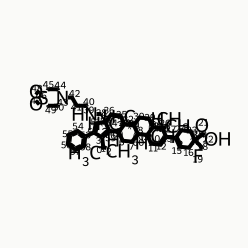 CC(C)C1=C2[C@H]3CC[C@@H]4[C@@]5(C)CC=C(C6=CCC(CF)(C(=O)O)CC6)C(C)(C)[C@@H]5CC[C@@]4(C)[C@]3(C)CC[C@@]2(CNCCCN2CCS(=O)(=O)CC2)C=C1c1ccccc1